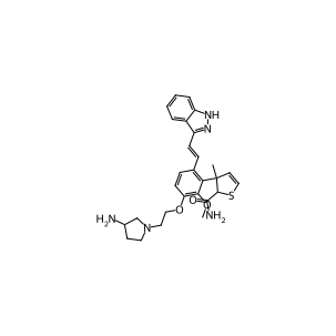 COc1c(OCCN2CCC(N)C2)ccc(/C=C/c2n[nH]c3ccccc23)c1C1(C)C=CSC1C(N)=O